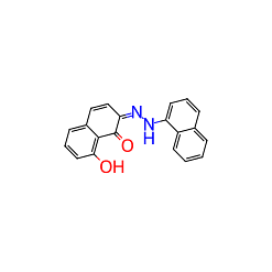 O=C1/C(=N\Nc2cccc3ccccc23)C=Cc2cccc(O)c21